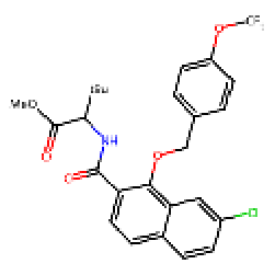 COC(=O)C(NC(=O)c1ccc2ccc(Cl)cc2c1OCc1ccc(OC(F)(F)F)cc1)C(C)(C)C